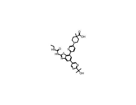 CCNC(=O)Nc1nc2cc(-c3cnc(C(C)(C)O)nc3)cc(-c3ccc(N4CCC(C)(C(=O)O)CC4)cn3)c2s1